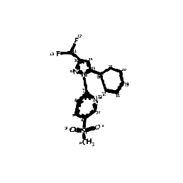 CS(=O)(=O)c1ccc(-n2nc(C(F)F)cc2C2CCCCC2)nc1